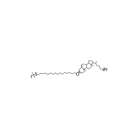 CC(C)CCCC(C)C1CCC2C3CC=C4C[C@@H](OCCCCCCCCCCCCCCCCSC(C)(C)I)CCC4(C)C3CCC12C